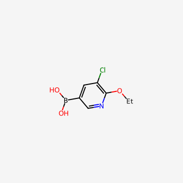 CCOc1ncc(B(O)O)cc1Cl